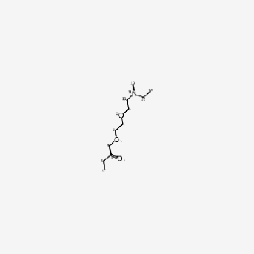 CCC(=O)COCCOCCN(C)CC